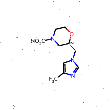 O=C(O)N1CCO[C@H](Cn2cnc(C(F)(F)F)c2)C1